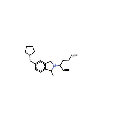 C=CCCC(C=C)N1Cc2cc(CC3CCCC3)ccc2C1C